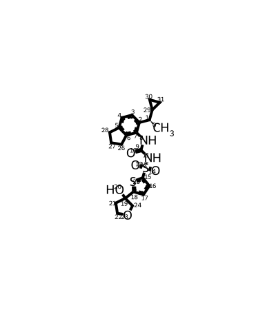 C[C@H](c1ccc2c(c1NC(=O)NS(=O)(=O)c1ccc(C3(O)CCOC3)s1)CCC2)C1CC1